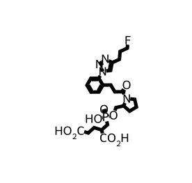 O=C(O)CCC(CP(=O)(O)OCC1CCCN1C(=O)CCc1ccccc1-n1cc(CCCF)nn1)C(=O)O